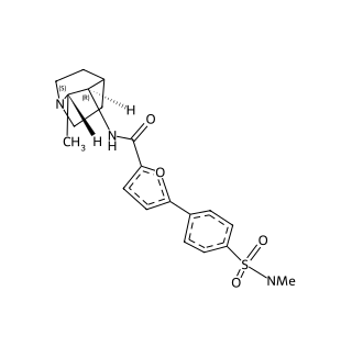 CNS(=O)(=O)c1ccc(-c2ccc(C(=O)N[C@@H]3C4CCN(CC4)[C@H]3C)o2)cc1